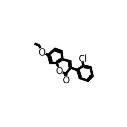 CCOc1ccc2cc(-c3ccccc3Cl)c(=O)oc2c1